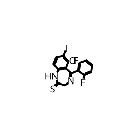 Fc1cccc(F)c1C1=NCC(=S)Nc2ccc(I)c(Cl)c21